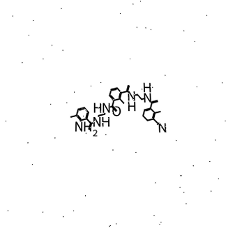 C=C(NCCNC(=C)c1cccc(C(=O)NCCNC(=C)c2cccc(C)c2N)c1C)C1=CCCC(C#N)=C1C